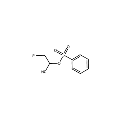 CC(C)CC(C#N)OS(=O)(=O)c1ccccc1